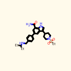 CCC(CC)NCc1ccc(-c2cc(C(N)=O)c3[nH]cc(C4CCN(S(=O)(=O)CC)CC4)c3c2)cc1